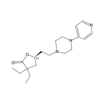 CCC1(CC)C[C@H](CCN2CCN(c3ccncc3)CC2)OC1=O